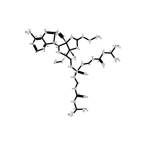 C#C[C@@]12OC(SOC)O[C@@H]1[C@@](CCl)(COP(=O)(OCOC(=O)OC(C)C)OCOC(=O)OC(C)C)O[C@H]2n1cnc2c(N)ncnc21